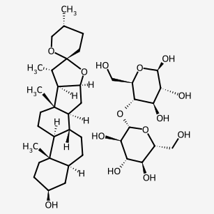 C[C@@H]1CC[C@@]2(OC1)O[C@H]1C[C@H]3[C@@H]4CC[C@H]5C[C@@H](O)CC[C@]5(C)[C@H]4CC[C@]3(C)[C@H]1[C@@H]2C.OC[C@H]1O[C@@H](O[C@H]2[C@H](O)[C@@H](O)[C@H](O)O[C@@H]2CO)[C@H](O)[C@@H](O)[C@@H]1O